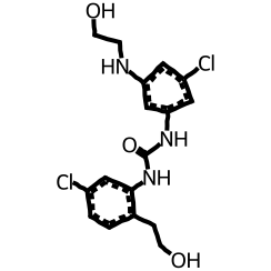 O=C(Nc1cc(Cl)cc(NCCO)c1)Nc1cc(Cl)ccc1CCO